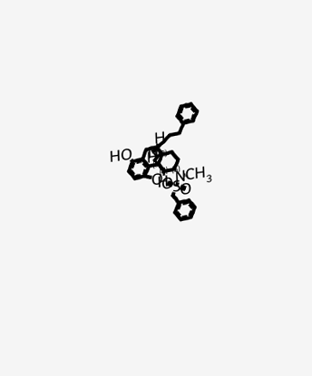 CN([C@H]1CC[C@H]2[C@H]3Cc4c(O)ccc5c4[C@@]2(CCN3CCc2ccccc2)[C@H]1O5)S(=O)(=O)Cc1ccccc1